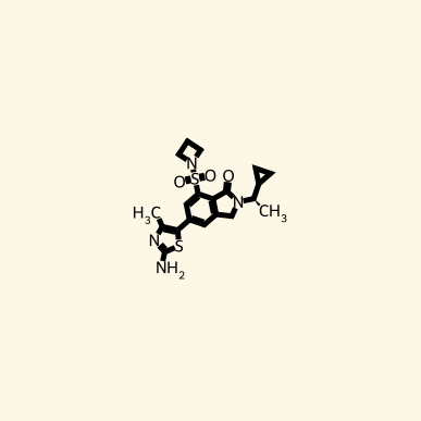 Cc1nc(N)sc1-c1cc2c(c(S(=O)(=O)N3CCC3)c1)C(=O)N([C@@H](C)C1CC1)C2